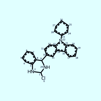 ClC1Nc2ccccc2C(c2ccc3c(c2)c2ccccc2n3-c2ccccc2)N1